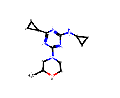 CC1CN(c2nc(NC3CC3)nc(C3CC3)n2)CCO1